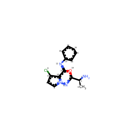 C[C@H](N)c1nn2ccc(Cl)c2/c(=N/c2ccccc2)o1